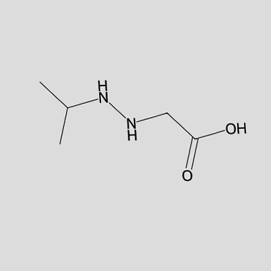 CC(C)NNCC(=O)O